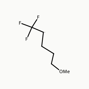 COCCC[CH]C(F)(F)F